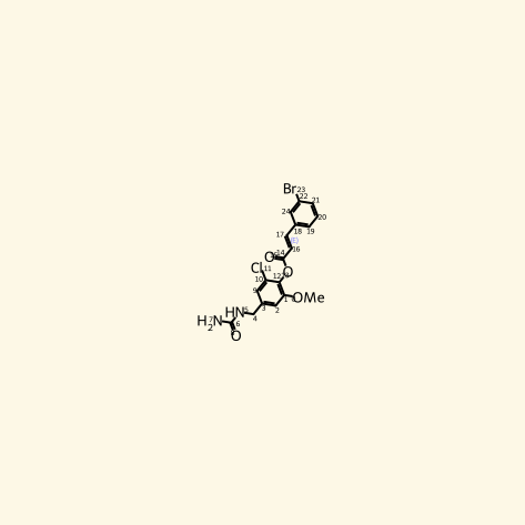 COc1cc(CNC(N)=O)cc(Cl)c1OC(=O)/C=C/c1cccc(Br)c1